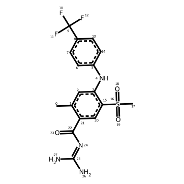 Cc1cc(Nc2ccc(C(F)(F)F)cc2)c(S(C)(=O)=O)cc1C(=O)N=C(N)N